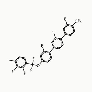 Cc1ccc(C(F)(F)Oc2ccc(-c3ccc(-c4ccc(C(F)(F)F)c(F)c4)c(F)c3)c(F)c2)c(F)c1F